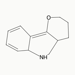 C1=CC2=C3OCCCC3CNC2C=C1